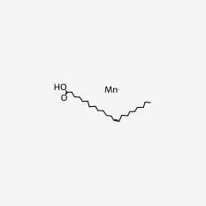 CCCCCCCC/C=C\CCCCCCCCCCCC(=O)O.[Mn]